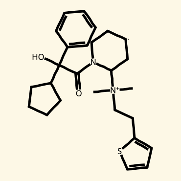 C[N+](C)(CCc1cccs1)C1C[CH]CCN1C(=O)C(O)(c1ccccc1)C1CCCC1